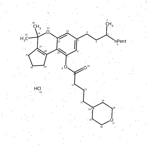 CCCCCC(C)CCc1cc(OC(=O)CCCN2CCOCC2)c2c(c1)OC(C)(C)C1=C2CCC1.Cl